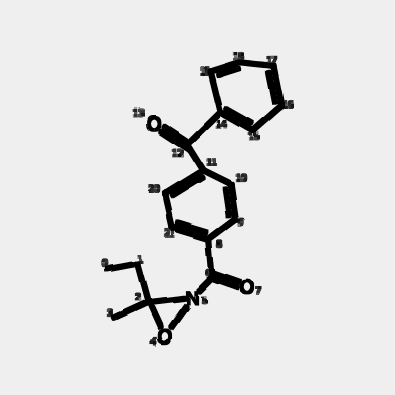 CCC1(C)ON1C(=O)c1ccc(C(=O)c2ccccc2)cc1